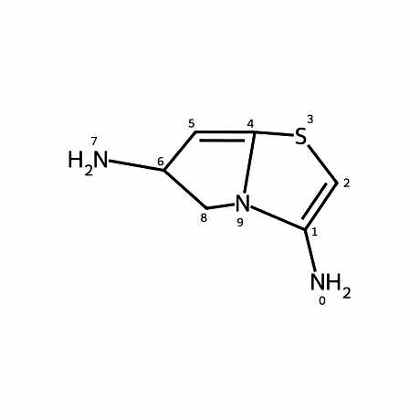 NC1=CSC2=CC(N)CN12